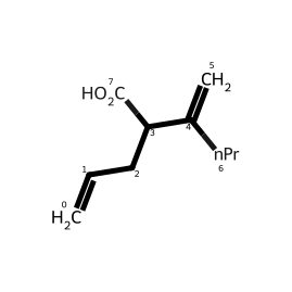 C=CCC(C(=C)CCC)C(=O)O